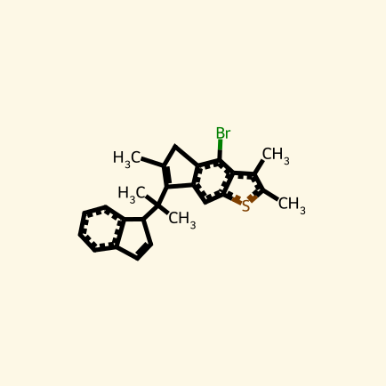 CC1=C(C(C)(C)C2C=Cc3ccccc32)c2cc3sc(C)c(C)c3c(Br)c2C1